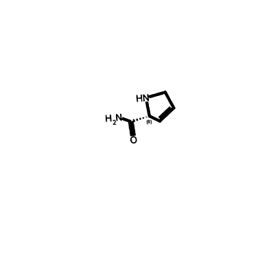 NC(=O)[C@H]1C=CCN1